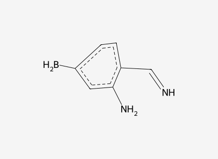 Bc1ccc(C=N)c(N)c1